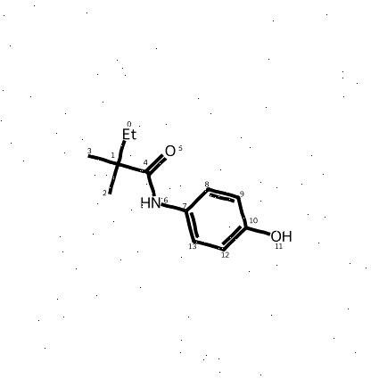 CCC(C)(C)C(=O)Nc1ccc(O)cc1